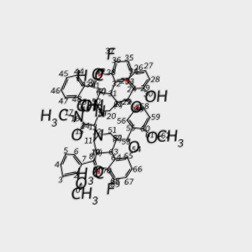 COc1ccccc1C(=O)[C@H]1CN(C(C(=O)N(C)C)N2C[C@H](C(=O)c3ccccc3O)C(c3cccc(F)c3C)[C@@H](C(=O)c3ccccc3O)C2)C[C@H](C(=O)c2ccccc2OC)C1c1cccc(F)c1C